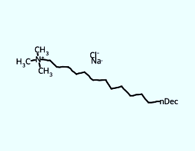 CCCCCCCCCCCCCCCCCCCCCC[N+](C)(C)C.[Cl-].[Na]